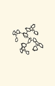 c1ccc(-n2c3ccccc3c3ccc(-c4cc(-c5ccc6c7ccccc7n(-c7ccccc7)c6c5)nc(-c5cc(-c6ccc7c8ccccc8n(-c8ccccc8)c7c6)cc(-c6ccc7c8ccccc8n(-c8ccccc8)c7c6)n5)c4)cc32)cc1